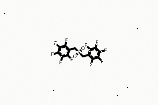 O=S(=O)(Cc1c(F)c(F)c(F)c(F)c1F)Cc1c(F)c(F)c(F)c(F)c1F